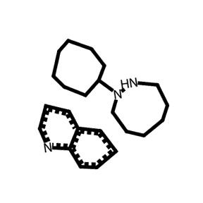 C1CCCC(N2CCCCCCN2)CCC1.c1ccc2ncccc2c1